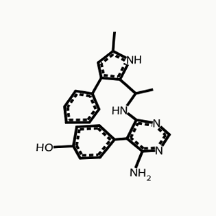 Cc1cc(-c2ccccc2)c(C(C)Nc2ncnc(N)c2-c2ccc(O)cc2)[nH]1